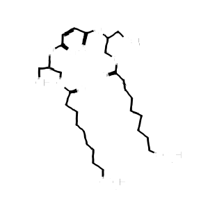 O=C(O)CCCCCCCCC(=O)OCC(CO)OC(=O)/C=C\C(=O)OC(CO)COC(=O)CCCCCCCCC(=O)O